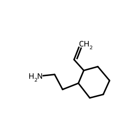 C=CC1CCCCC1CCN